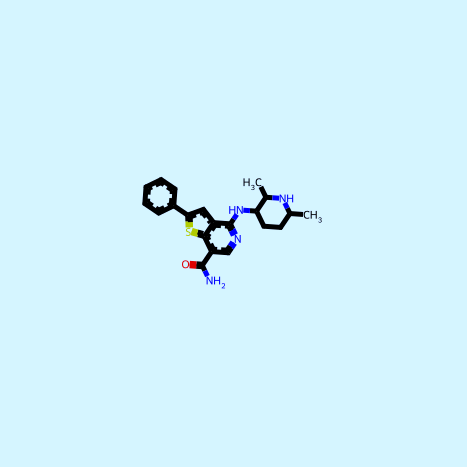 CC1CCC(Nc2ncc(C(N)=O)c3sc(-c4ccccc4)cc23)C(C)N1